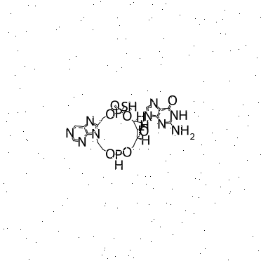 Nc1nc2c(ncn2[C@@H]2O[C@@H]3COPOCCn4c(nc5cncnc54)COP(=O)(S)O[C@@H]2[C@H]3F)c(=O)[nH]1